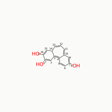 OC1=CC2=c3ccc(O)cc3=CC=CC2C=C1O